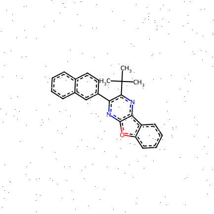 CC(C)(C)c1nc2c(nc1-c1ccc3ccccc3c1)oc1ccccc12